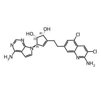 Nc1nc2cc(CCC3=C[C@@H](n4ccc5c(N)ncnc54)[C@H](O)[C@@H]3O)cc(Cl)c2cc1Cl